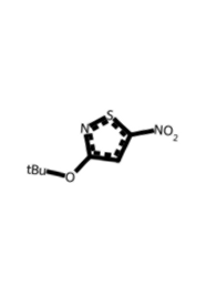 CC(C)(C)Oc1cc([N+](=O)[O-])sn1